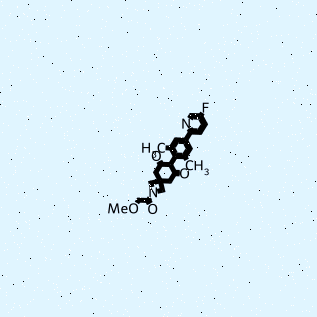 COCC(=O)N1CC2(CC(=O)C(c3c(C)cc(-c4ccc(F)cn4)cc3C)C(=O)C2)C1